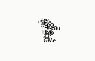 C=C(C)N(O)C(=O)C[C@@H](CC(C)C)C(=O)N[C@H](C(=O)Nc1ccc(OC)cc1)C(C)(C)C